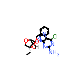 CC[C@@]12COC([C@H](n3cnc4c(Cl)nc(N)nc43)O1)[C@H]2OCc1ccccc1